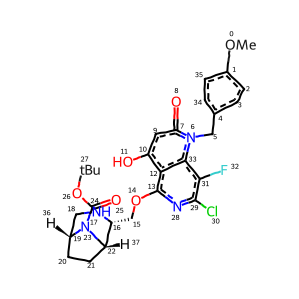 COc1ccc(Cn2c(=O)cc(O)c3c(OC[C@H]4NC[C@H]5CC[C@@H]4N5C(=O)OC(C)(C)C)nc(Cl)c(F)c32)cc1